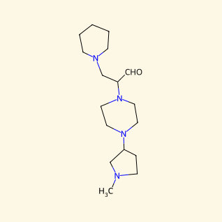 CN1CCC(N2CCN(C(C=O)CN3CCCCC3)CC2)C1